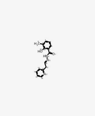 Cc1cccc(C(=O)NN=CCc2ccccn2)c1O